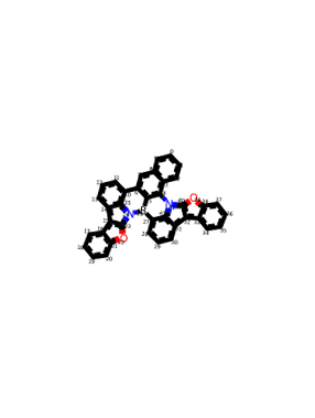 c1ccc2c3c4c(cc2c1)-c1cccc2c5c6ccccc6oc5n(c12)B4c1cccc2c4c5ccccc5oc4n-3c12